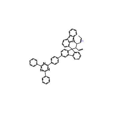 C=CC1C(/C=C\C)n2c3ccccc3c3cccc(c32)C12c1ccccc1-c1cc(-c3ccc(-c4nc(-c5ccccc5)nc(-c5ccccc5)n4)cc3)ccc12